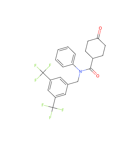 O=C1CCC(C(=O)N(Cc2cc(C(F)(F)F)cc(C(F)(F)F)c2)c2ccccc2)CC1